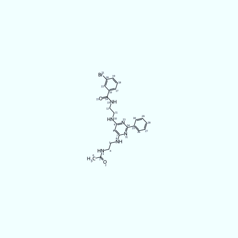 CC(=O)NCCNc1cc(NCCNC(=O)c2cccc(Br)c2)nc(-c2ccccc2)n1